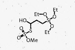 CCO[Si](CCC(O)SS(=O)(=O)OC)(OCC)OCC